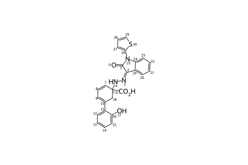 O=C1C(=NNC2(C(=O)O)C=CC=C(c3ccccc3O)C2)c2ccccc2N1c1cccs1